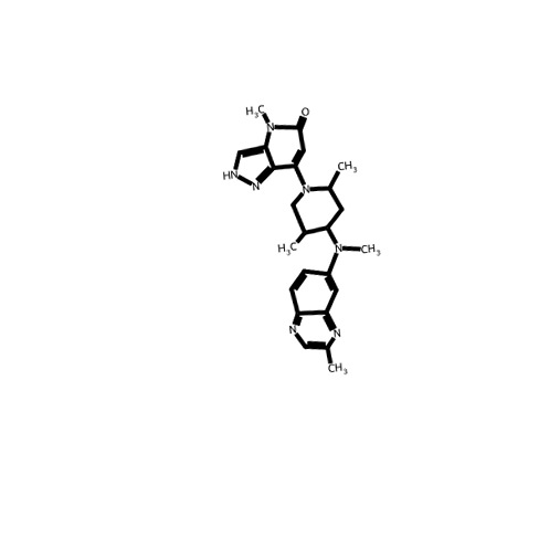 Cc1cnc2ccc(N(C)C3CC(C)N(c4cc(=O)n(C)c5c[nH]nc45)CC3C)cc2n1